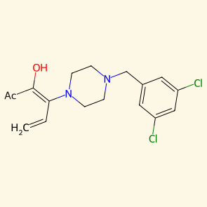 C=C/C(=C(/O)C(C)=O)N1CCN(Cc2cc(Cl)cc(Cl)c2)CC1